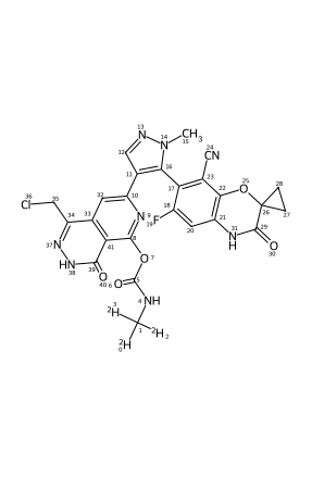 [2H]C([2H])([2H])NC(=O)Oc1nc(-c2cnn(C)c2-c2c(F)cc3c(c2C#N)OC2(CC2)C(=O)N3)cc2c(CCl)n[nH]c(=O)c12